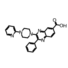 O=C(O)c1ccc2nc(-c3ccccc3)c(N3CCN(c4ccccn4)CC3)nc2c1